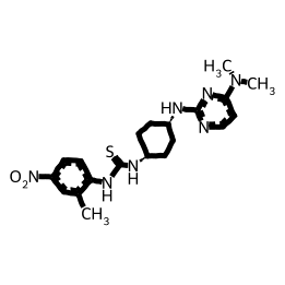 Cc1cc([N+](=O)[O-])ccc1NC(=S)N[C@H]1CC[C@@H](Nc2nccc(N(C)C)n2)CC1